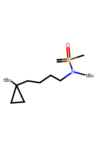 C=S(C)(=O)N(CCCCC1(C(C)(C)C)CC1)C(C)(C)C